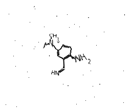 CN(I)c1ccc(N)c(C=N)c1